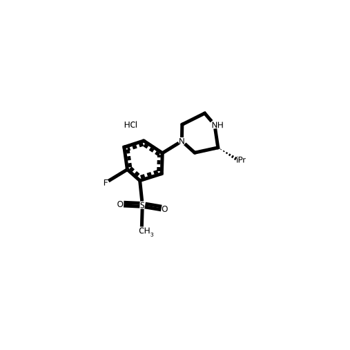 CC(C)[C@@H]1CN(c2ccc(F)c(S(C)(=O)=O)c2)CCN1.Cl